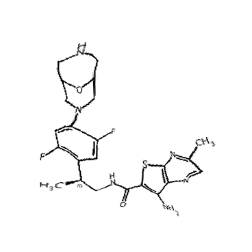 Cc1cnc2c(N)c(C(=O)NC[C@@H](C)c3cc(F)c(N4CC5CNCC(C4)O5)cc3F)sc2n1